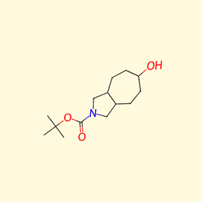 CC(C)(C)OC(=O)N1CC2CCC(O)CCC2C1